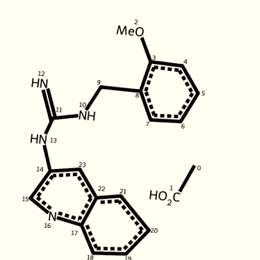 CC(=O)O.COc1ccccc1CNC(=N)Nc1cnc2ccccc2c1